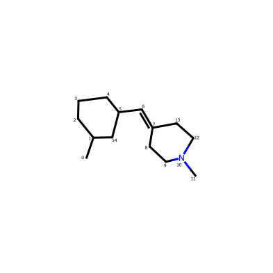 CC1CCCC(C=C2CCN(C)CC2)C1